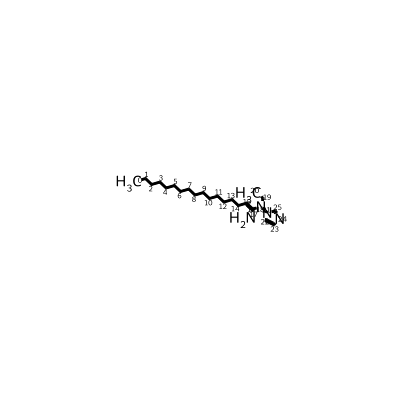 CCCCCCCCCCCCCCCC=C(N)N(CC)n1ccnc1